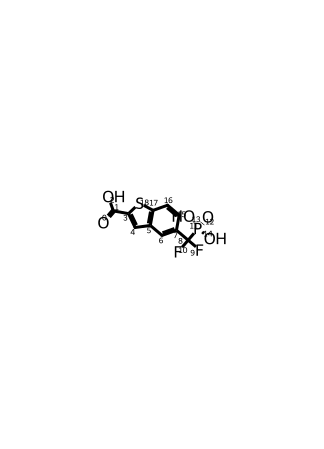 O=C(O)c1cc2cc(C(F)(F)P(=O)(O)O)ccc2s1